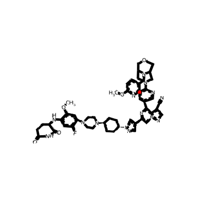 COc1ccc(CN2C3COCC2CN(c2ccc(-c4nc(-c5cnn([C@H]6CC[C@H](N7CCN(c8cc(OC)c(NC9CCC(=O)NC9=O)cc8F)CC7)CC6)c5)cn5ncc(C#N)c45)cn2)C3)cn1